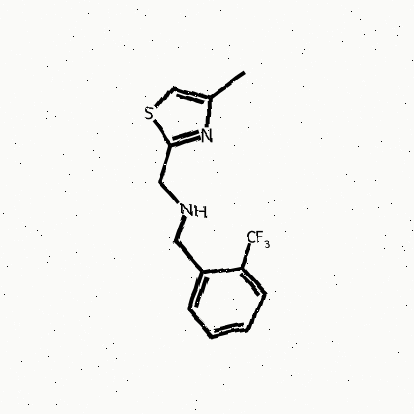 Cc1csc(CNCc2ccccc2C(F)(F)F)n1